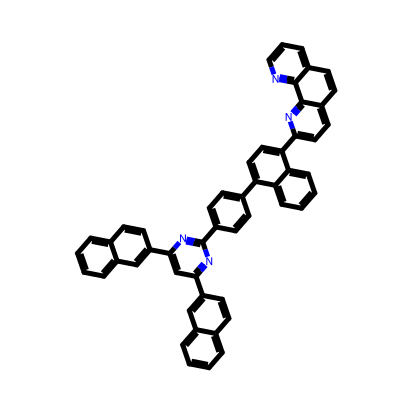 c1ccc2cc(-c3cc(-c4ccc5ccccc5c4)nc(-c4ccc(-c5ccc(-c6ccc7ccc8cccnc8c7n6)c6ccccc56)cc4)n3)ccc2c1